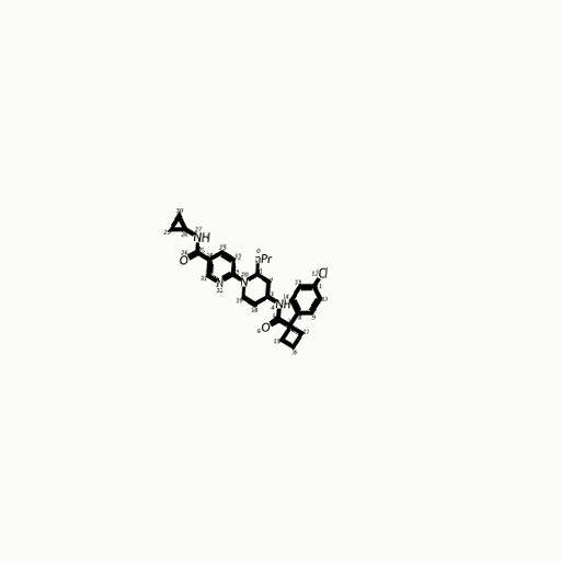 CCCC1CC(NC(=O)C2(c3ccc(Cl)cc3)CCC2)CCN1c1ccc(C(=O)NC2CC2)cn1